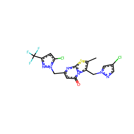 Cc1sc2nc(Cn3nc(C(F)(F)F)cc3Cl)cc(=O)n2c1Cn1cc(Cl)cn1